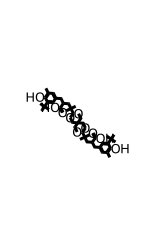 Cc1cc(CC(CC(C)(C)C2OCC3(CO2)COC(C(C)(C)CC(Cc2cc(C)c(O)c(C(C)(C)C)c2)C(=O)O)OC3)C(=O)O)cc(C(C)(C)C)c1O